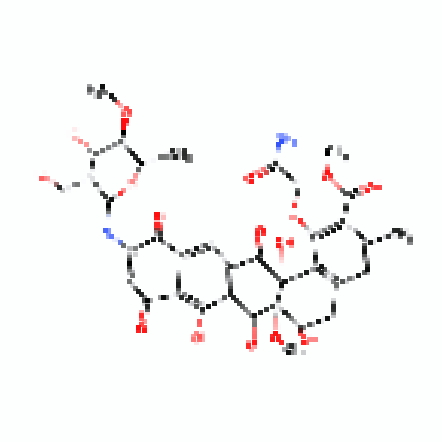 COC(=O)c1c(C)cc2c(c1OCC(N)=O)[C@]1(O)C(=O)c3cc4c(c(O)c3C(=O)[C@]1(OC)[C@H](O)C2)C(=O)C=C(NC1O[C@@H](C)[C@H](OC)[C@@H](O)[C@H]1CO)C4=O